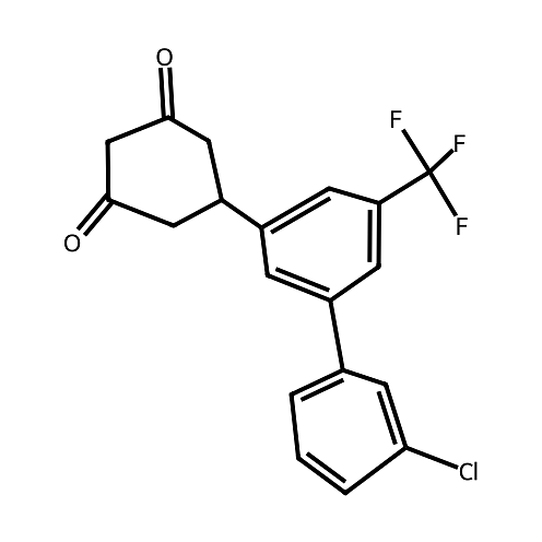 O=C1CC(=O)CC(c2cc(-c3cccc(Cl)c3)cc(C(F)(F)F)c2)C1